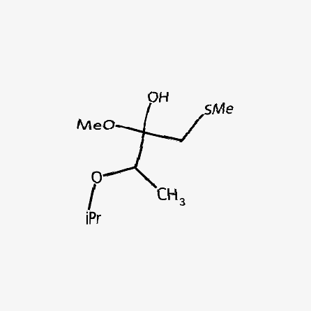 COC(O)(CSC)C(C)OC(C)C